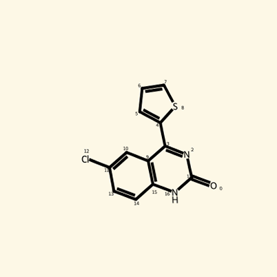 O=c1nc(-c2cccs2)c2cc(Cl)ccc2[nH]1